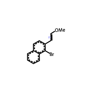 CO/C=C/c1ccc2ccccc2c1Br